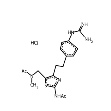 CC(=O)Nc1nc(CCc2ccc(NC(=N)N)cc2)c(CN(C)C(C)=O)s1.Cl